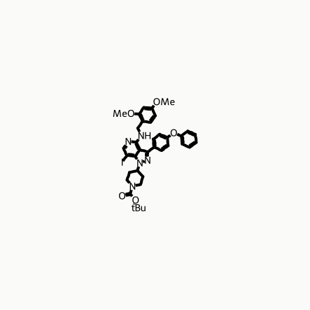 COc1ccc(CNc2ncc(I)c3c2c(-c2ccc(Oc4ccccc4)cc2)nn3C2CCN(C(=O)OC(C)(C)C)CC2)c(OC)c1